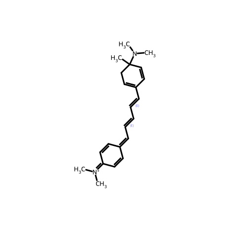 CN(C)C1(C)C=CC(/C=C/C=C/C=C2C=CC(=[N+](C)C)C=C2)=CC1